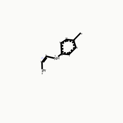 Cc1ccc(N/C=C\C(C)C)cc1